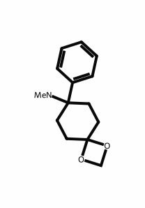 CNC1(c2ccccc2)CCC2(CC1)OCO2